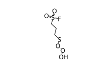 O=S(=O)(F)CCCSOOO